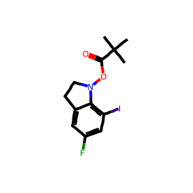 CC(C)(C)C(=O)ON1CCc2cc(F)cc(I)c21